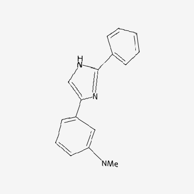 CNc1cccc(-c2c[nH]c(-c3ccccc3)n2)c1